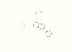 Cc1cc(N)nc(-c2c(Cl)cc3c(N4CC[C@H]5CC[C@@H](C4)N5)nc(OCC4(CN5CCC(F)CC5)CC4)nc3c2F)c1C(F)(F)F